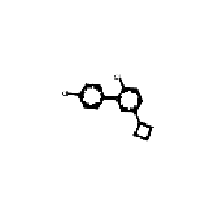 Clc1ccc(-c2cc(C3[CH]CC3)ccc2Cl)cc1